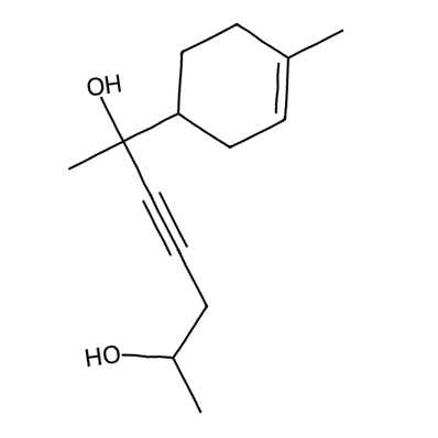 CC1=CCC(C(C)(O)C#CCC(C)O)CC1